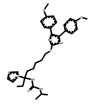 CCC(CCCCCSc1nc(-c2ccc(OC)cc2)c(-c2ccc(OC)cc2)[nH]1)(NC(=O)NC(C)C)n1ccnc1